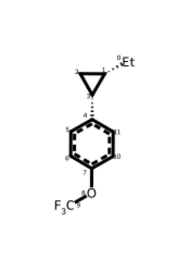 CC[C@H]1C[C@H]1c1ccc(OC(F)(F)F)cc1